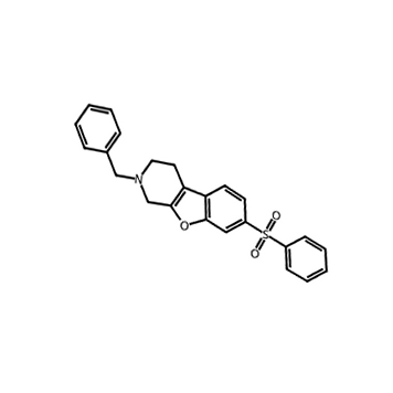 O=S(=O)(c1ccccc1)c1ccc2c3c(oc2c1)CN(Cc1ccccc1)CC3